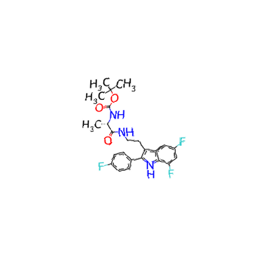 C[C@H](NC(=O)OC(C)(C)C)C(=O)NCCc1c(-c2ccc(F)cc2)[nH]c2c(F)cc(F)cc12